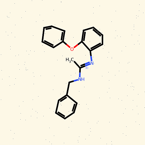 C/C(=N\c1ccccc1Oc1ccccc1)NCc1ccccc1